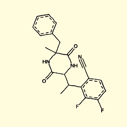 CC(c1c(C#N)ccc(F)c1F)C1NC(=O)C(C)(Cc2ccccc2)NC1=O